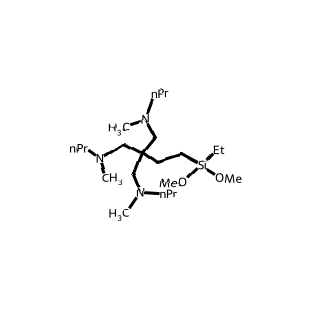 CCCN(C)CC(CC[Si](CC)(OC)OC)(CN(C)CCC)CN(C)CCC